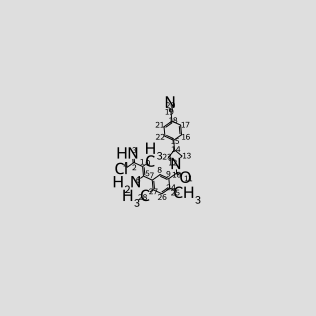 C/C(C(=N)Cl)=C(/N)c1cc(C(=O)N2CC(c3ccc(C#N)cc3)C2)c(C)cc1C